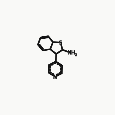 NC1SC2C=CC=CC2C1c1ccncc1